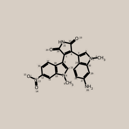 Cn1cc(C2=C(c3cn(C)c4cc([N+](=O)[O-])ccc34)C(=O)NC2=O)c2ccc(N)cc21